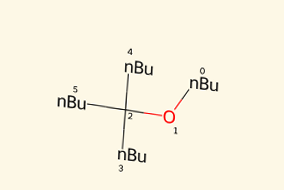 CCCCOC(CCCC)(CCCC)CCCC